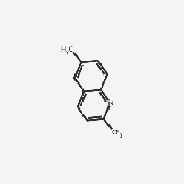 Cc1ccc2nc(C(F)(F)F)ccc2c1